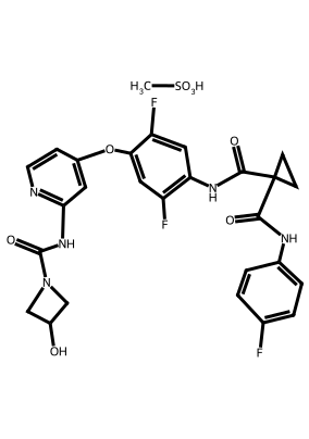 CS(=O)(=O)O.O=C(Nc1cc(Oc2cc(F)c(NC(=O)C3(C(=O)Nc4ccc(F)cc4)CC3)cc2F)ccn1)N1CC(O)C1